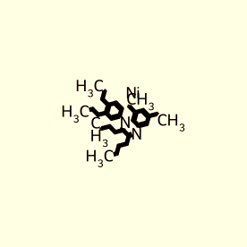 CCCCC(=Nc1cc(CC)cc(CC)c1)C(CCCC)=Nc1ccc(CCC)c(CCC)c1.[Ni]